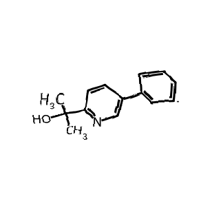 CC(C)(O)c1ccc(-c2c[c]ccc2)cn1